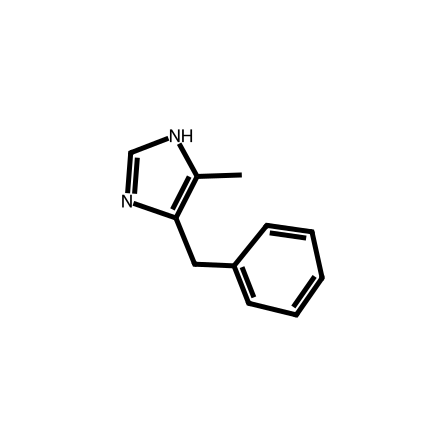 Cc1[nH]cnc1Cc1ccccc1